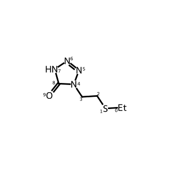 CCSCCn1nn[nH]c1=O